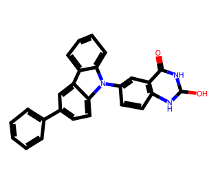 O=C1NC(O)Nc2ccc(-n3c4ccccc4c4cc(-c5ccccc5)ccc43)cc21